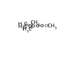 CCc1cc(-c2ccc(-c3ccc(C4CCC(C)CC4)cc3)cc2)cc(CC)c1OCC(CC)CC